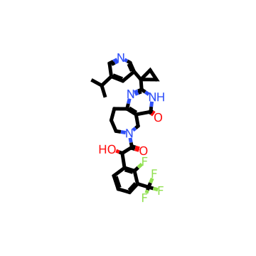 CC(C)c1cncc(C2(c3nc4c(c(=O)[nH]3)CN(C(=O)C(O)c3cccc(C(F)(F)F)c3F)CCC4)CC2)c1